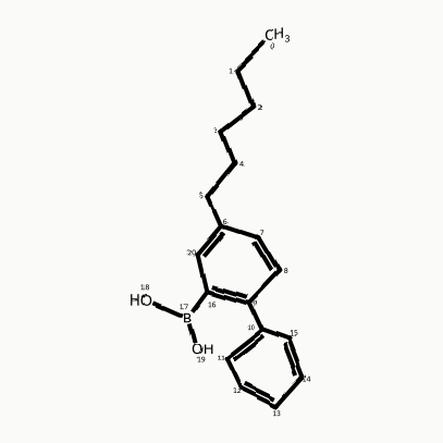 CCCCCCc1ccc(-c2ccccc2)c(B(O)O)c1